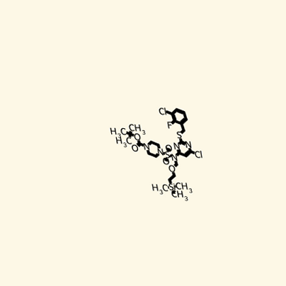 CC(C)(C)OC(=O)N1CCN(S(=O)(=O)N(COCC[Si](C)(C)C)c2cc(Cl)nc(SCc3cccc(Cl)c3F)n2)CC1